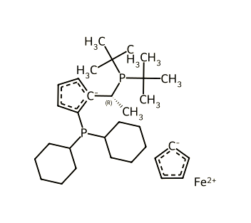 C[C@H]([c-]1cccc1P(C1CCCCC1)C1CCCCC1)P(C(C)(C)C)C(C)(C)C.[Fe+2].c1cc[cH-]c1